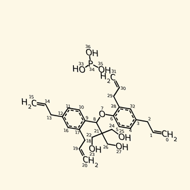 C=CCc1ccc(OC(c2ccc(CC=C)cc2CC=C)C(CO)(CO)CO)c(CC=C)c1.OP(O)O